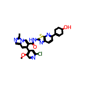 COc1cnc(Cl)cc1-c1cc2cnc(C)n2cc1C(=O)Nc1nc2ccc(C3=CCC(O)CC3)nc2s1